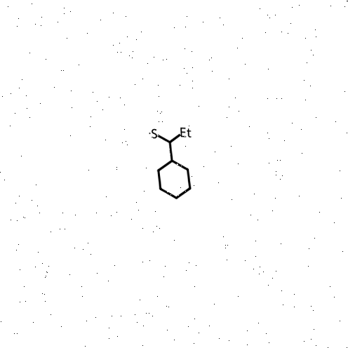 CCC([S])C1CCCCC1